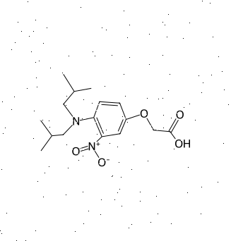 CC(C)CN(CC(C)C)c1ccc(OCC(=O)O)cc1[N+](=O)[O-]